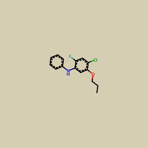 CCCOc1cc(Nc2ccccc2)c(F)cc1Cl